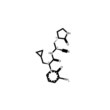 N#C[C@H](C[C@@H]1CCNC1=O)NC(=O)[C@H](CC1CC1)n1cccc(N)c1=O